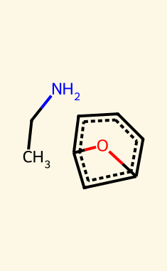 CCN.c1cc2cc(c1)O2